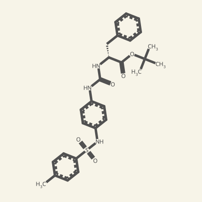 Cc1ccc(S(=O)(=O)Nc2ccc(NC(=O)N[C@H](Cc3ccccc3)C(=O)OC(C)(C)C)cc2)cc1